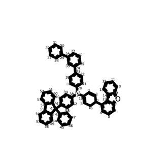 C1=CC(c2cccc3oc4ccccc4c23)CC=C1N(c1ccc(-c2cccc(-c3ccccc3)c2)cc1)c1ccc(C2(c3ccccc3)c3ccccc3-c3ccccc32)cc1